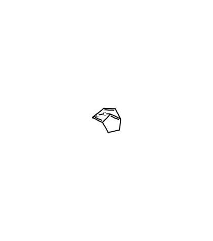 c1cc2c3c(c1CC3)CC2